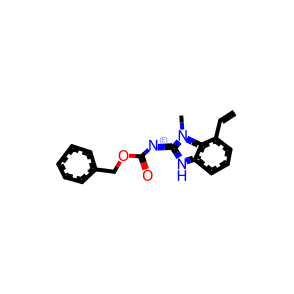 C=Cc1cccc2[nH]/c(=N\C(=O)OCc3ccccc3)n(C)c12